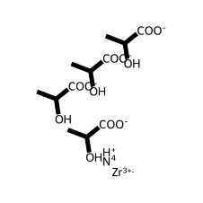 CC(O)C(=O)[O-].CC(O)C(=O)[O-].CC(O)C(=O)[O-].CC(O)C(=O)[O-].[NH4+].[Zr+3]